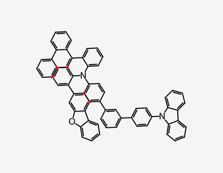 c1cc(-c2ccc(N(c3ccccc3-c3ccc4c(c3)oc3ccccc34)c3ccccc3-c3cc4ccccc4c4ccccc34)cc2)cc(-c2ccc(-n3c4ccccc4c4ccccc43)cc2)c1